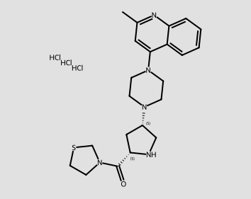 Cc1cc(N2CCN([C@@H]3CN[C@H](C(=O)N4CCSC4)C3)CC2)c2ccccc2n1.Cl.Cl.Cl